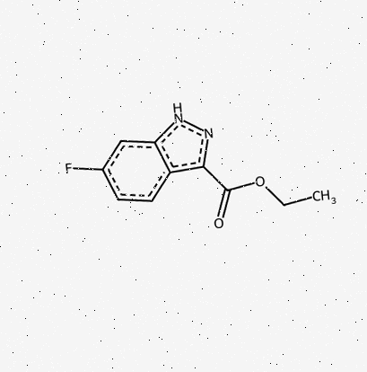 CCOC(=O)c1n[nH]c2cc(F)ccc12